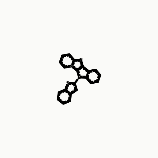 c1ccc2sc(-n3c4ccccc4c4nc5ccccn5c43)cc2c1